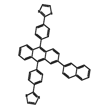 c1ccc2cc(-c3ccc4c(-c5ccc(-c6nccs6)cc5)c5ccccc5c(-c5ccc(-c6nccs6)cc5)c4c3)ccc2c1